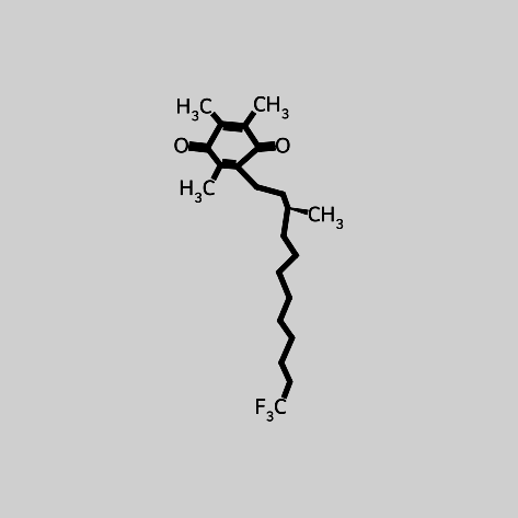 CC1=C(C)C(=O)C(CC[C@@H](C)CCCCCCCCC(F)(F)F)=C(C)C1=O